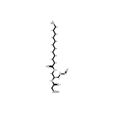 CCCCCCCCCCCC(=O)O[C@H](COP=O)COC(=O)CCCCCCCCCCCS